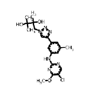 COc1nc(Nc2cc(C)cc(-c3cn(C[C@@](C)(O)C(C)(C)O)nn3)c2)ncc1Cl